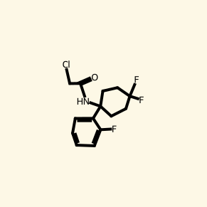 O=C(CCl)NC1(c2ccccc2F)CCC(F)(F)CC1